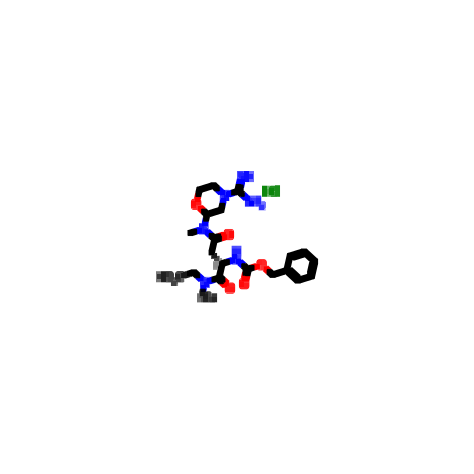 CCCCN(CC(=O)O)C(=O)[C@H](CC(=O)N(C)C1CN(C(=N)N)CCO1)NC(=O)OCc1ccccc1.Cl